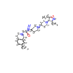 CC1=NOC(C)C1N1CCC(N2CCC(NC(=O)CN3CCc4ccc(C(F)(F)F)cc4C3)C2)CC1